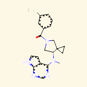 CN(c1ncnc2[nH]ccc12)[C@H]1CN(C(=O)c2cccc(C(F)(F)F)c2)CC12CC2